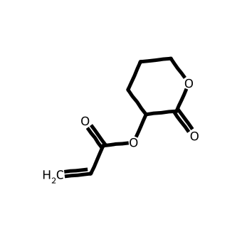 C=CC(=O)OC1CCCOC1=O